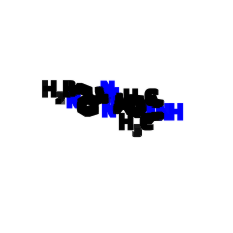 Bc1ccc2c(-c3cnn4cc(-c5ccc(N6C(C)CNCC6C)cc5)cnc34)cccc2n1